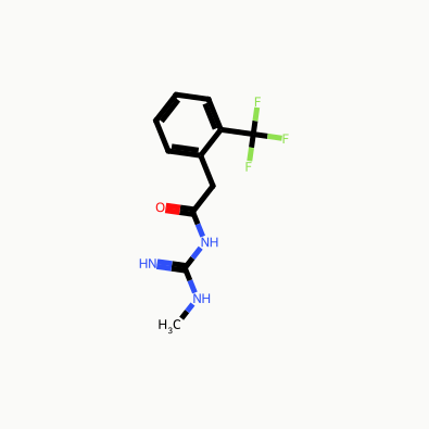 CNC(=N)NC(=O)Cc1ccccc1C(F)(F)F